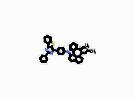 C=C/C=C1\C(=C/C)c2cccc3c2c2c4c1cccc4ccc2n3-c1ccc(-c2nc(-c3ccccc3)nc3c2sc2ccccc23)cc1